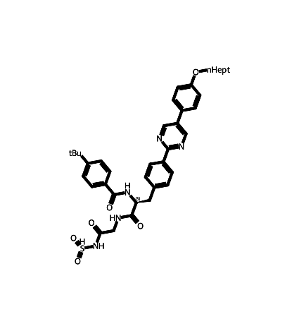 CCCCCCCOc1ccc(-c2cnc(-c3ccc(C[C@H](NC(=O)c4ccc(C(C)(C)C)cc4)C(=O)NCC(=O)N[SH](=O)=O)cc3)nc2)cc1